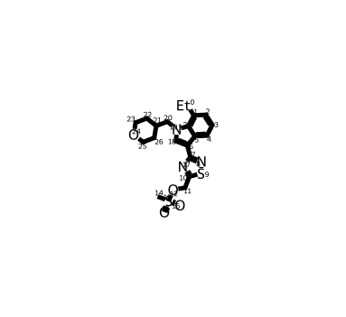 CCc1cccc2c(-c3nsc(COS(C)(=O)=O)n3)cn(CC3CCOCC3)c12